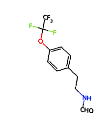 O=CNCCc1ccc(OC(F)(F)C(F)(F)F)cc1